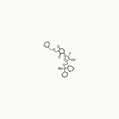 CC(C)(C)[Si](OC[C@H]1O[C@@H](n2ccc(=O)n(COCc3ccccc3)c2=O)C(F)=C1O)(c1ccccc1)c1ccccc1